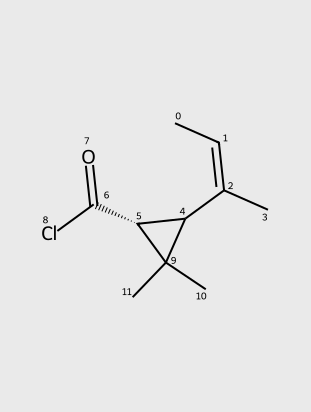 C/C=C(/C)C1[C@@H](C(=O)Cl)C1(C)C